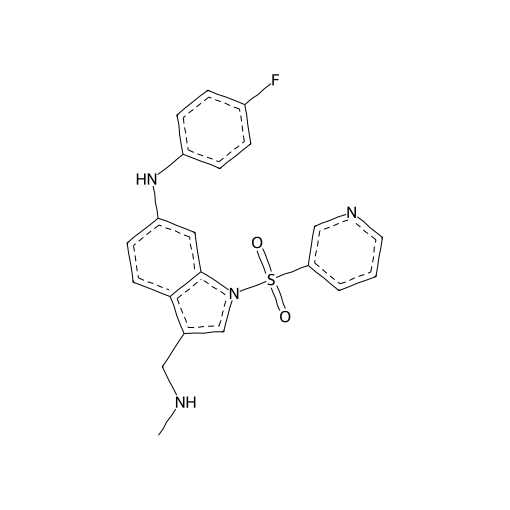 CNCc1cn(S(=O)(=O)c2cccnc2)c2cc(Nc3ccc(F)cc3)ccc12